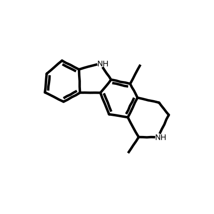 Cc1c2c(cc3c1[nH]c1ccccc13)C(C)NCC2